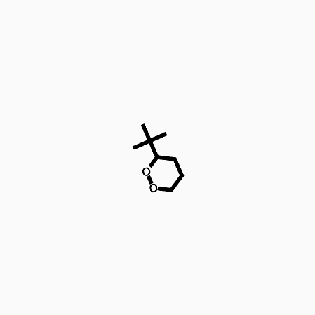 CC(C)(C)C1CCCOO1